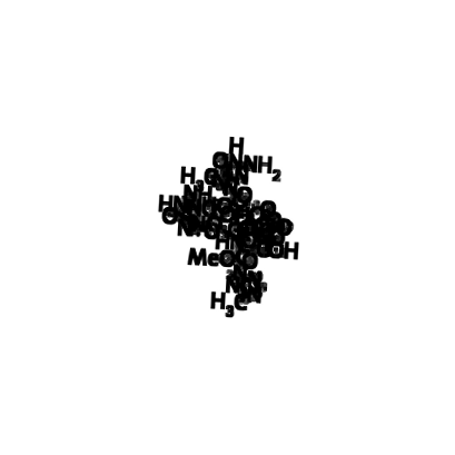 CC[C@@H]1[C@@H](COP(=O)(O)OP(=O)(O)OP(=O)(O)OC[C@H]2O[C@@H](n3cnc4c(C)ncnc43)[C@H](OC)[C@@H]2NP(=O)(O)OC[C@H]2O[C@@H](n3cnc4c(=O)[nH]c(N)nc43)[C@H](O)[C@@H]2O)OC(n2c[n+](C)c3c(=O)[nH]c(N)nc32)[C@@H]1O